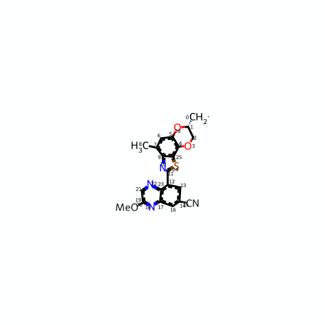 [CH2][C@@H]1COc2c(cc(C)c3nc(-c4cc(C#N)cc5nc(OC)cnc45)sc23)O1